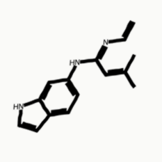 C=C/N=C(\C=C(C)C)Nc1ccc2cc[nH]c2c1